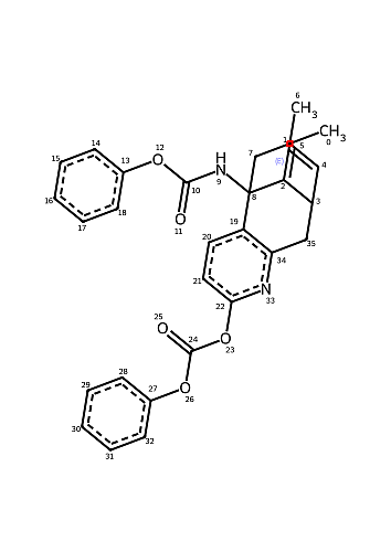 C/C=C1\C2C=C(C)CC1(NC(=O)Oc1ccccc1)c1ccc(OC(=O)Oc3ccccc3)nc1C2